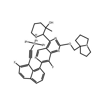 CC(C)[Si](C#Cc1c(F)ccc2cccc(-c3ncc4c(C5NCCCC5(C)O)nc(OCC56CCCN5CCC6)nc4c3F)c12)(C(C)C)C(C)C